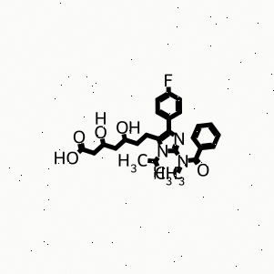 CC(C)n1c(N(C)C(=O)c2ccccc2)nc(-c2ccc(F)cc2)c1CCC(O)CC(O)CC(=O)O